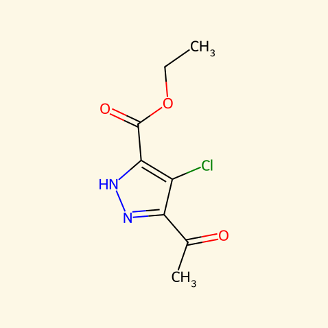 CCOC(=O)c1[nH]nc(C(C)=O)c1Cl